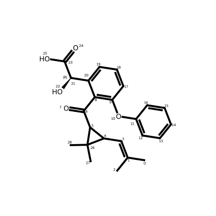 CC(C)=CC1C(C(=O)c2c(Oc3ccccc3)cccc2[C@@H](O)C(=O)O)C1(C)C